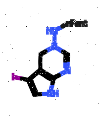 CCCCCNN1C=Nc2[nH]cc(I)c2C1